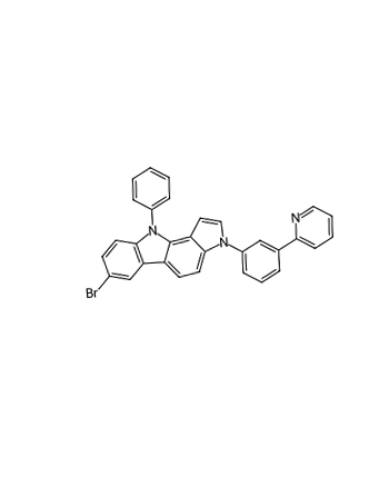 Brc1ccc2c(c1)c1ccc3c(ccn3-c3cccc(-c4ccccn4)c3)c1n2-c1ccccc1